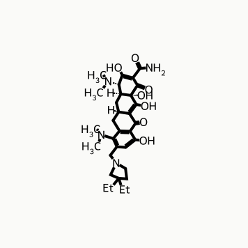 CCC1(CC)CCN(Cc2cc(O)c3c(c2N(C)C)C[C@H]2C[C@H]4[C@H](N(C)C)C(O)=C(C(N)=O)C(=O)[C@@]4(O)C(O)=C2C3=O)C1